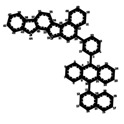 c1cc(-c2c3ccccc3c(-c3cccc4ccccc34)c3ccccc23)cc(-c2cc3sc4c(ccc5c6ccccc6sc54)c3c3ccccc23)c1